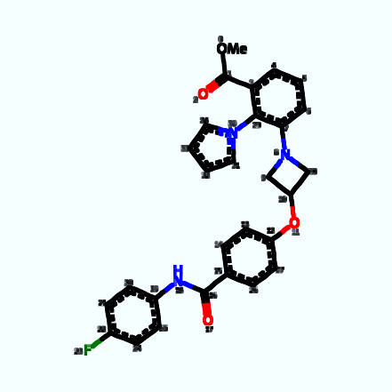 COC(=O)c1cccc(N2CC(Oc3ccc(C(=O)Nc4ccc(F)cc4)cc3)C2)c1-n1cccc1